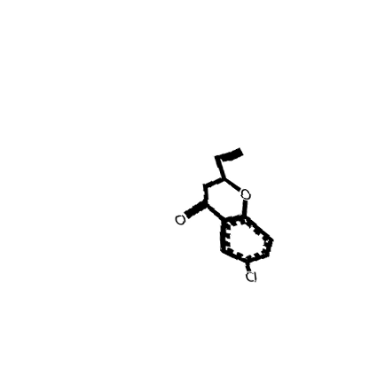 C=CC1CC(=O)c2cc(Cl)ccc2O1